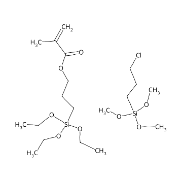 C=C(C)C(=O)OCCC[Si](OCC)(OCC)OCC.CO[Si](CCCCl)(OC)OC